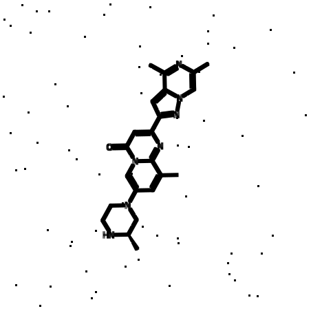 Cc1cn2nc(-c3cc(=O)n4cc(N5CCN[C@H](C)C5)cc(C)c4n3)cc2c(C)n1